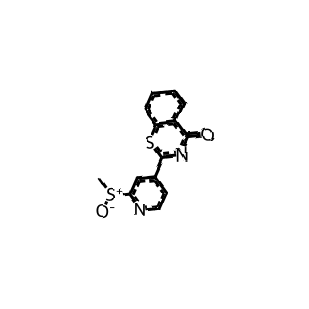 C[S+]([O-])c1cc(-c2nc(=O)c3ccccc3s2)ccn1